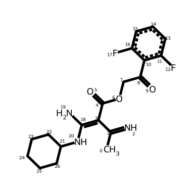 CC(=N)/C(C(=O)OCC(=O)c1c(F)cccc1F)=C(/N)NC1CCCCC1